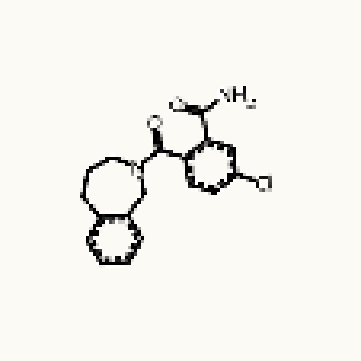 NC(=O)c1cc(Cl)ccc1C(=O)N1CCCc2ccccc2C1